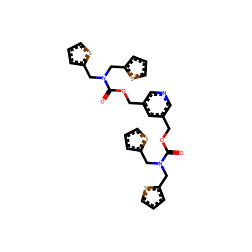 O=C(OCc1cncc(COC(=O)N(Cc2cccs2)Cc2cccs2)c1)N(Cc1cccs1)Cc1cccs1